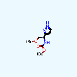 CC(C)(C)OC[C@H](NC(=O)OC(C)(C)C)c1cc[nH]n1